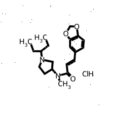 CCC(CC)N1CCC(N(C)C(=O)C=Cc2ccc3c(c2)OCO3)C1.Cl